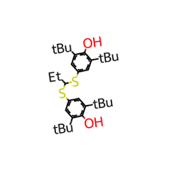 CCC(Sc1cc(C(C)(C)C)c(O)c(C(C)(C)C)c1)Sc1cc(C(C)(C)C)c(O)c(C(C)(C)C)c1